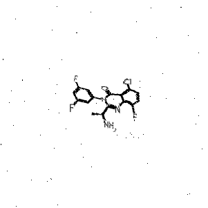 C[C@H](N)c1nc2c(F)ccc(Cl)c2c(=O)n1-c1cc(F)cc(F)c1